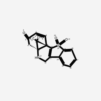 CC1(C)[C@@]23CC(=O)C=C[C@@]12C1=C(CN3)c2ccccc2S1(=O)=O